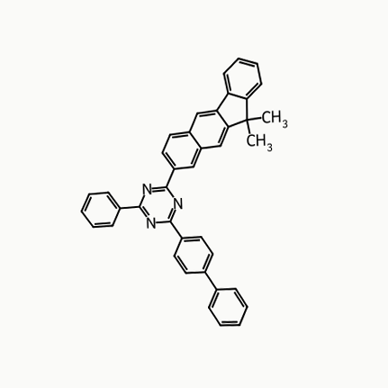 CC1(C)c2ccccc2-c2cc3ccc(-c4nc(-c5ccccc5)nc(-c5ccc(-c6ccccc6)cc5)n4)cc3cc21